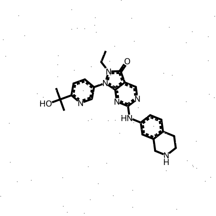 CCn1c(=O)c2cnc(Nc3ccc4c(c3)CNCC4)nc2n1-c1ccc(C(C)(C)O)nc1